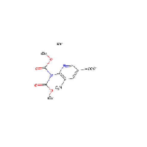 CC(C)(C)OC(=O)N(C(=O)OC(C)(C)C)c1ncc(C(=O)[O-])cc1[N+](=O)[O-].[Na+]